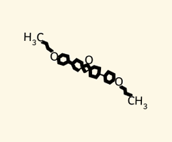 CCCCCOC1CCC(C2CC[C@]3(CC2)C[C@@]2(CC[C@H](C4CCC(OCCCCC)CC4)CC2)C3=O)CC1